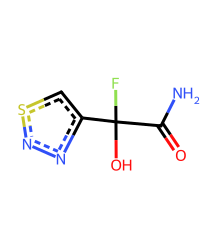 NC(=O)C(O)(F)c1csnn1